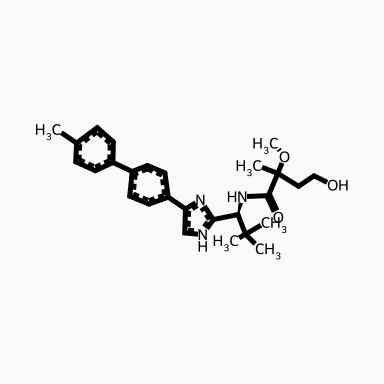 COC(C)(CCO)C(=O)N[C@H](c1nc(-c2ccc(-c3ccc(C)cc3)cc2)c[nH]1)C(C)(C)C